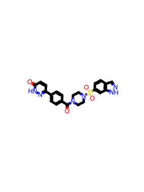 O=C(c1ccc(-c2ccc(=O)[nH]n2)cc1)N1CCN(S(=O)(=O)c2ccc3cn[nH]c3c2)CC1